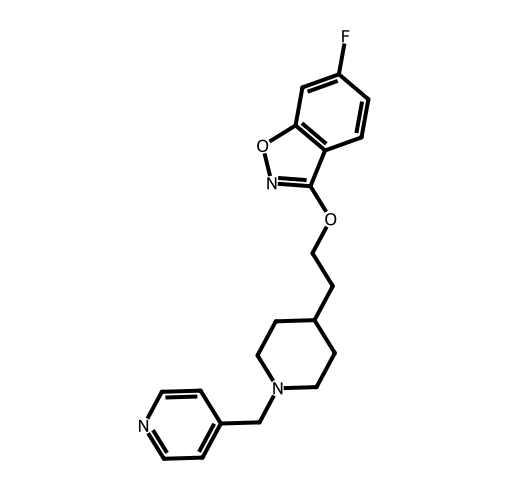 Fc1ccc2c(OCCC3CCN(Cc4ccncc4)CC3)noc2c1